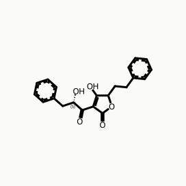 O=C1OC(CCc2ccccc2)C(O)=C1C(=O)[C@@H](O)Cc1ccccc1